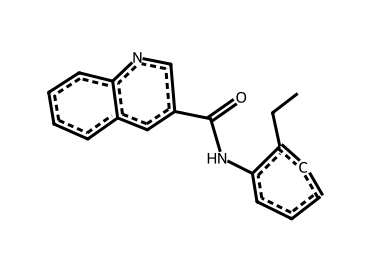 CCc1ccccc1NC(=O)c1cnc2ccccc2c1